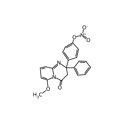 COC1=CC=CC2=NC(c3ccccc3)(c3ccc(O[N+](=O)[O-])cc3)CC(=O)N12